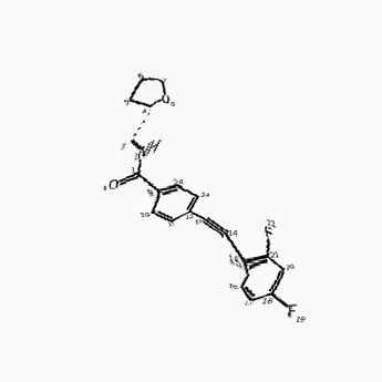 O=C(NC[C@@H]1CCCO1)c1ccc(C#Cc2ccc(F)cc2F)cc1